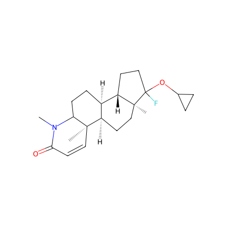 CN1C(=O)C=C[C@@]2(C)C1CC[C@@H]1[C@H]2CC[C@@]2(C)[C@H]1CCC2(F)OC1CC1